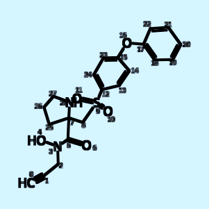 C#CCN(O)C(=O)C1(CS(=O)(=O)c2ccc(Oc3ccccc3)cc2)CCCN1